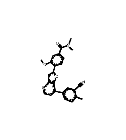 COc1cc(C(=O)N(C)C)ccc1-c1cc2nccc(-c3ccc(C)c(C#N)c3)c2o1